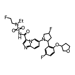 CCN(CCF)S(=O)(=O)NC(=O)c1cnc2ccc(N3CC(F)CC3c3cc(F)ccc3OC3CCOC3)cn12